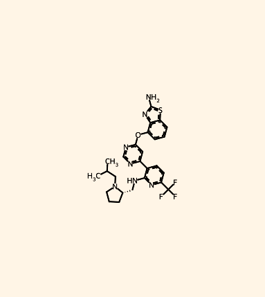 CC(C)CN1CCC[C@H]1CNc1nc(C(F)(F)F)ccc1-c1cc(Oc2cccc3sc(N)nc23)ncn1